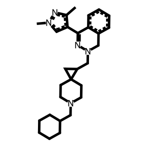 Cc1nn(C)cc1C1=NN(CC2CC23CCN(CC2CCCCC2)CC3)Cc2ccccc21